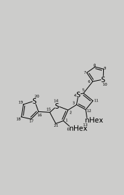 CCCCCCC1=C(c2sc(-c3cccs3)cc2CCCCCC)SC(c2cccs2)C1